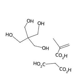 C=C(C)C(=O)O.O=C(O)CC(=O)O.OCC(CO)(CO)CO